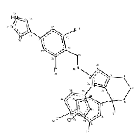 Cc1cc(C2(C)CCCc3nc(SCc4c(F)cc(-c5nn[nH]n5)cc4F)n(-c4ccc(F)cc4)c32)ccc1Cl